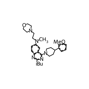 CCC(C)c1nc(N2CCC(c3ccccc3OC)CC2)c2cc(N(C)CCN3CCOCC3)ccc2n1